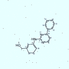 OCC1=CC(Nc2nccc(-c3ccccc3)n2)=CCC1